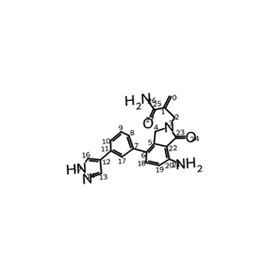 C=C(CN1Cc2c(-c3cccc(-c4cn[nH]c4)c3)ccc(N)c2C1=O)C(N)=O